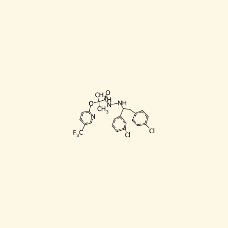 CC(C)(Oc1ccc(C(F)(F)F)cn1)C(=O)NNC(Cc1ccc(Cl)cc1)c1cccc(Cl)c1